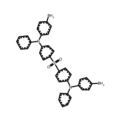 Bc1ccc(N(c2ccccc2)c2ccc(S(=O)(=O)c3ccc(N(c4ccccc4)c4ccc(B)cc4)cc3)cc2)cc1